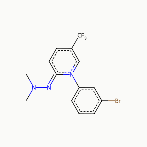 CN(C)/N=c1\ccc(C(F)(F)F)cn1-c1cccc(Br)c1